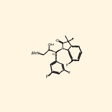 CNCC(O)[C@H](c1cc(F)cc(F)c1)N1C(=O)C(C)(C)c2cccc(F)c21